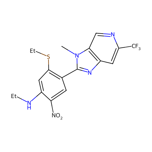 CCNc1cc(SCC)c(-c2nc3cc(C(F)(F)F)ncc3n2C)cc1[N+](=O)[O-]